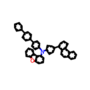 c1ccc(-c2ccc(-c3ccc(N(c4ccc(-c5cccc6c5ccc5ccccc56)cc4)c4cccc5oc6ccccc6c45)cc3)cc2)cc1